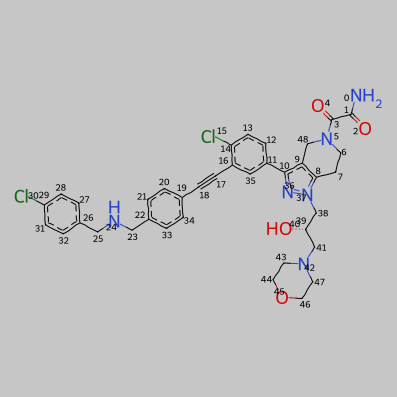 NC(=O)C(=O)N1CCc2c(c(-c3ccc(Cl)c(C#Cc4ccc(CNCc5ccc(Cl)cc5)cc4)c3)nn2C[C@@H](O)CN2CCOCC2)C1